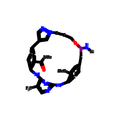 CCNP1Cc2ccc(c(OC)c2)Nc2ncc(C(F)(F)F)c(n2)Nc2ccc(cc2C(=O)NC)-c2cnn(c2)CCCO1